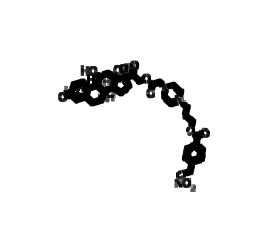 C[C@]12C=CC(=O)C=C1CC[C@@H]1[C@@H]2C(O)C[C@@]2(C)[C@H]1CC[C@]2(O)C(=O)COC(=O)CN1CCN(CCCOC(=O)c2ccc(CO[N+](=O)[O-])cc2)CC1